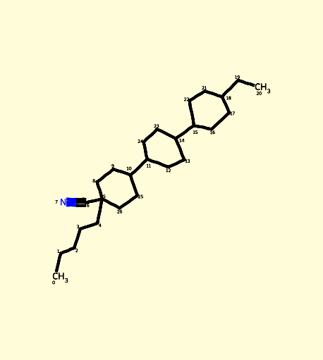 CCCCCC1(C#N)CCC(C2CCC(C3CCC(CC)CC3)CC2)CC1